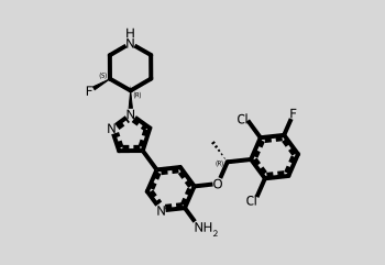 C[C@@H](Oc1cc(-c2cnn([C@@H]3CCNC[C@@H]3F)c2)cnc1N)c1c(Cl)ccc(F)c1Cl